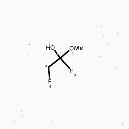 COC(O)(F)CF